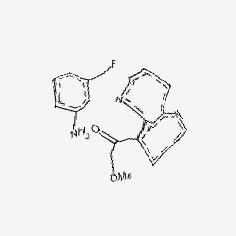 COC(=O)c1ccnc2cccnc12.Nc1cccc(F)c1